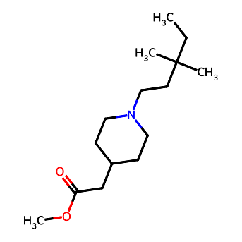 CCC(C)(C)CCN1CCC(CC(=O)OC)CC1